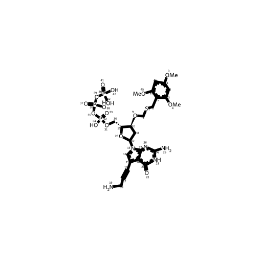 COc1cc(OC)c(CSCO[C@H]2CC(n3cc(C#CCN)c4c(=O)[nH]c(N)nc43)O[C@@H]2COP(=O)(O)OP(=O)(O)OP(=O)(O)O)c(OC)c1